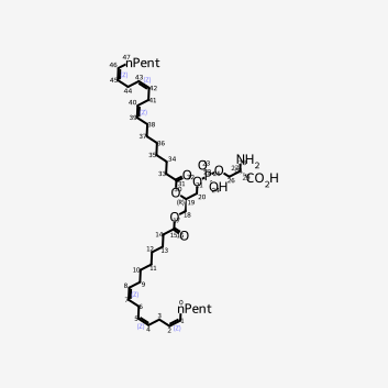 CCCCC/C=C\C/C=C\C/C=C\CCCCCCC(=O)OC[C@H](COP(=O)(O)OC[C@H](N)C(=O)O)OC(=O)CCCCCC/C=C\C/C=C\C/C=C\CCCCC